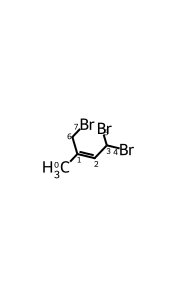 CC(=CC(Br)Br)CBr